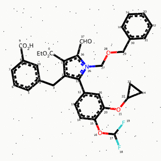 CCOC(=O)c1c(Cc2cccc(C(=O)O)c2)c(-c2ccc(OC(F)F)c(OC3CC3)c2)n(COCc2ccccc2)c1C=O